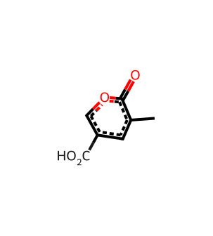 Cc1cc(C(=O)O)coc1=O